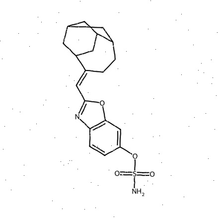 NS(=O)(=O)Oc1ccc2nc(/C=C3\CCC4CC5CC3CC4C5)oc2c1